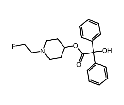 O=C(OC1CCN(CCF)CC1)C(O)(c1ccccc1)c1ccccc1